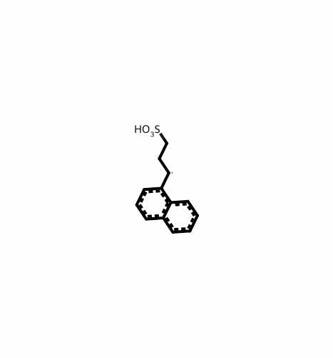 O=S(=O)(O)CC[CH]c1cccc2ccccc12